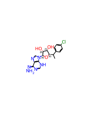 CC(c1ccc(Cl)cc1)[C@H]1O[C@@H](n2cnc3c(=NN)nc[nH]c32)[C@H](O)[C@@H]1O